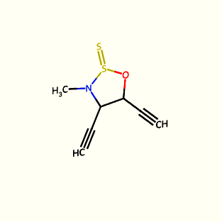 C#CC1OS(=S)N(C)C1C#C